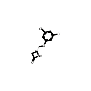 O=C1C[C@H](COc2cc(Cl)cc(Cl)c2)N1